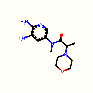 CC(C(=O)N(C)c1cnc(N)c(N)c1)N1CCOCC1